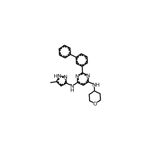 Cc1cc(Nc2cc(NC3CCOCC3)nc(-c3cccc(-c4ccccc4)c3)n2)n[nH]1